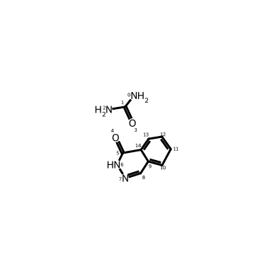 NC(N)=O.O=c1[nH]ncc2ccccc12